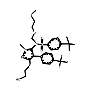 COCCOCN(c1c(-c2ccc(C(F)(F)F)cc2)c(OCCO)nn1C)S(=O)(=O)c1ccc(C(C)(C)C)cc1